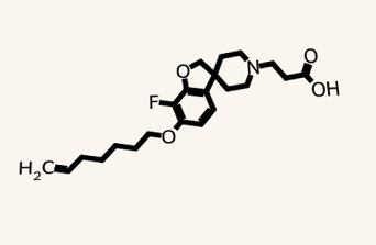 C=CCCCCCOc1ccc2c(c1F)OCC21CCN(CCC(=O)O)CC1